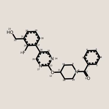 O=C(c1ccccc1)N1CCC(Oc2ncc(-c3cccc(CO)c3F)cn2)CC1